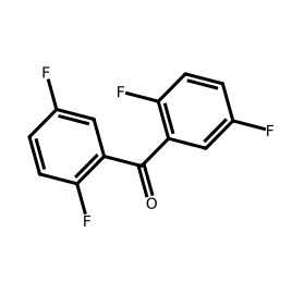 O=C(c1cc(F)ccc1F)c1cc(F)ccc1F